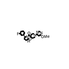 COc1cc(N2CCC3(CC2)O[C@@H]2CC[C@@H](c4cccc(F)c4)N2C3=O)ncn1